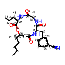 CCCC[C@H](C)[C@@H]1CC(=O)N[C@H](Cc2cccc(C#N)c2)C(=O)N[C@@H](C)C(=O)N[C@H]([C@@H](C)CC)C(=O)O1